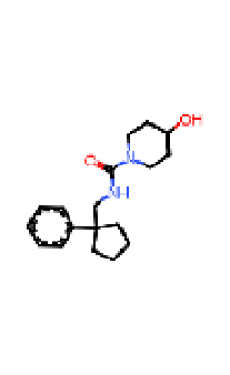 O=C(NCC1(c2ccccc2)CCCC1)N1CCC(O)CC1